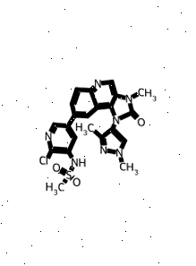 Cc1nn(C)cc1-n1c(=O)n(C)c2cnc3ccc(-c4cnc(Cl)c(NS(C)(=O)=O)c4)cc3c21